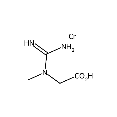 CN(CC(=O)O)C(=N)N.[Cr]